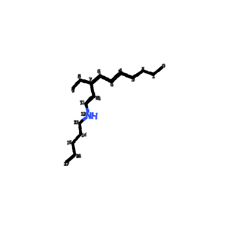 CCCCCCCC(CC)CCNCCCCC